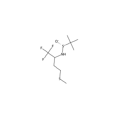 CSCCC(N[S@+]([O-])C(C)(C)C)C(F)(F)F